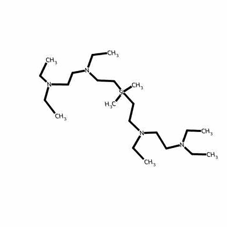 CCN(CC)CCN(CC)CC[Si](C)(C)CCN(CC)CCN(CC)CC